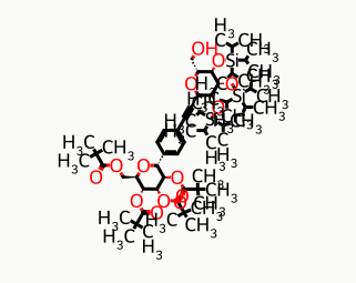 CC(C)[Si](O[C@@H]1[C@H](O[Si](C(C)C)(C(C)C)C(C)C)[C@@H](C#Cc2ccc([C@H]3O[C@H](COC(=O)C(C)(C)C)[C@@H](OC(=O)C(C)(C)C)[C@H](OC(=O)C(C)(C)C)[C@@H]3OC(=O)C(C)(C)C)cc2)O[C@H](CO)[C@H]1O[Si](C(C)C)(C(C)C)C(C)C)(C(C)C)C(C)C